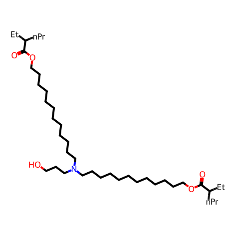 CCCC(CC)C(=O)OCCCCCCCCCCCCN(CCCO)CCCCCCCCCCCCOC(=O)C(CC)CCC